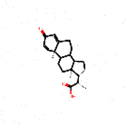 C[C@H](C(=O)O)[C@H]1CCC2C3CCC4=CC(=O)C=C[C@]4(C)C3CC[C@@]21C